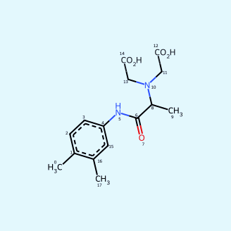 Cc1ccc(NC(=O)C(C)N(CC(=O)O)CC(=O)O)cc1C